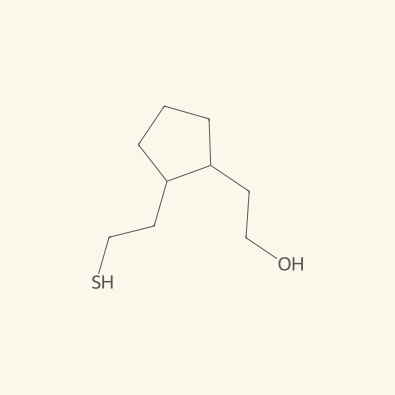 OCCC1CCCC1CCS